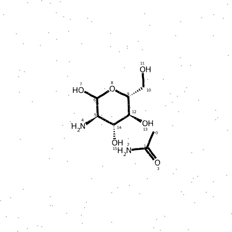 CC(N)=O.N[C@H]1C(O)O[C@H](CO)[C@@H](O)[C@@H]1O